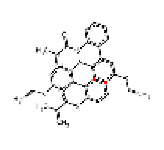 C=CSc1ccc(Sc2ccc(SC=C)cc2-c2ccccc2SC(=O)C(=C)C)c(-c2ccccc2SC(=O)C(=C)C)c1